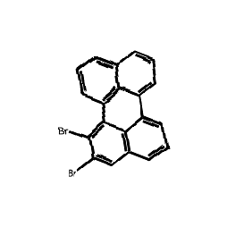 Brc1cc2cccc3c4cccc5cccc(c(c1Br)c23)c54